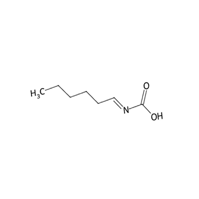 CCCCCC=NC(=O)O